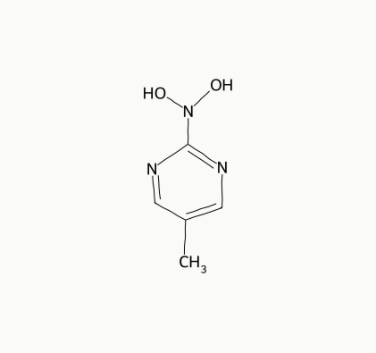 Cc1cnc(N(O)O)nc1